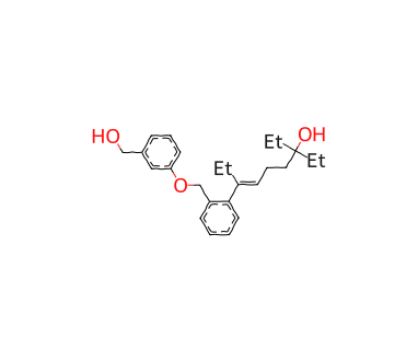 CC/C(=C\CCC(O)(CC)CC)c1ccccc1COc1cccc(CO)c1